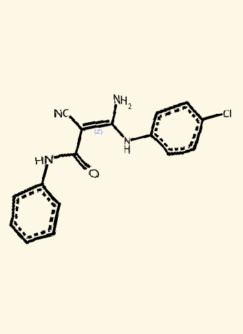 N#C/C(C(=O)Nc1ccccc1)=C(\N)Nc1ccc(Cl)cc1